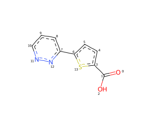 O=C(O)c1ccc(-c2cccnn2)s1